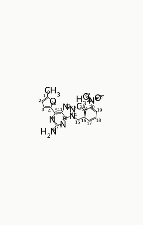 Cc1ccc(-c2nc(N)nc3c2nnn3Cc2cccc([N+](=O)[O-])c2C)o1